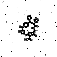 C[C@H]1C(S[C@@H]2CN[C@H](C(=O)N3CCC(C(=O)N4CCCC4)CC3)C2)=C(C(=O)O)N2C(=O)[C@H]([C@@H](C)NC(=O)Cn3cnnn3)C12